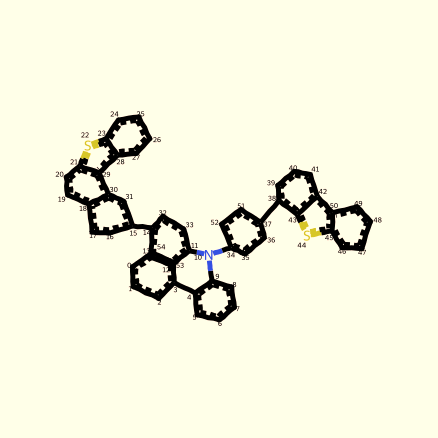 c1ccc(-c2ccccc2N(c2ccc(-c3ccc4ccc5sc6ccccc6c5c4c3)cc2)c2ccc(-c3cccc4c3sc3ccccc34)cc2)cc1